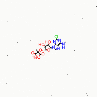 CNc1nc(Cl)nc2c1ncn2[C@@H]1O[C@H](COC(C)(C(=O)O)C(=O)O)[C@H](O)[C@H]1O